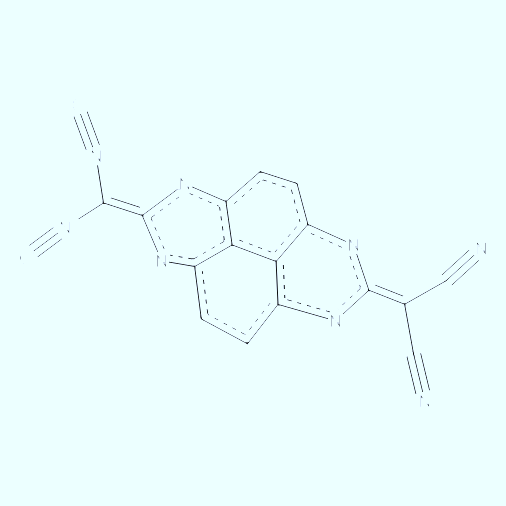 [C-]#[N+]C([N+]#[C-])=c1nc2ccc3nc(=C(C#N)C#N)nc4ccc(n1)c2c34